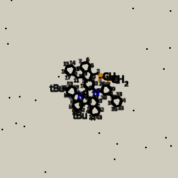 C=PCc1c2ccccc2c(Cc2ccccc2)c2cc3c(cc12)N(c1cc(P=C)cc(-c2ccccc2)c1)c1cc2ccccc2c2c1B3n1c3ccc(C(C)(C)C)cc3c3cc(C(C)(C)C)cc-2c31